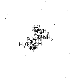 COc1c(F)cc(C2=C(CN3CCCC3C)SC(N)N2)cc1C(F)(F)F